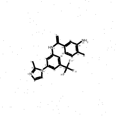 C=C(Nc1cc(-n2ccnc2C)cc(C(F)(F)F)c1)c1ccc(C)c(N)c1